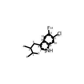 CC(C)C(C)Cc1c[nH]c2cc(Cl)c(F)cc12